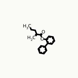 C=C(CCC)C(=O)Oc1ccccc1-c1ccccc1